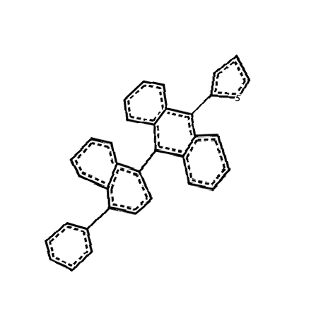 c1ccc(-c2ccc(-c3c4ccccc4c(-c4cccs4)c4ccccc34)c3ccccc23)cc1